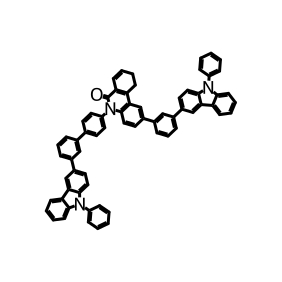 O=c1c2c(c3cc(-c4cccc(-c5ccc6c(c5)c5ccccc5n6-c5ccccc5)c4)ccc3n1-c1ccc(-c3cccc(-c4ccc5c(c4)c4ccccc4n5-c4ccccc4)c3)cc1)CCC=C2